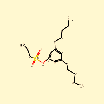 CCCCCc1cc(CCCCC)cc(OS(=O)(=O)CCC)c1